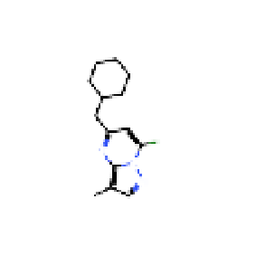 Cc1cnn2c(Cl)cc(CC3CCCCC3)nc12